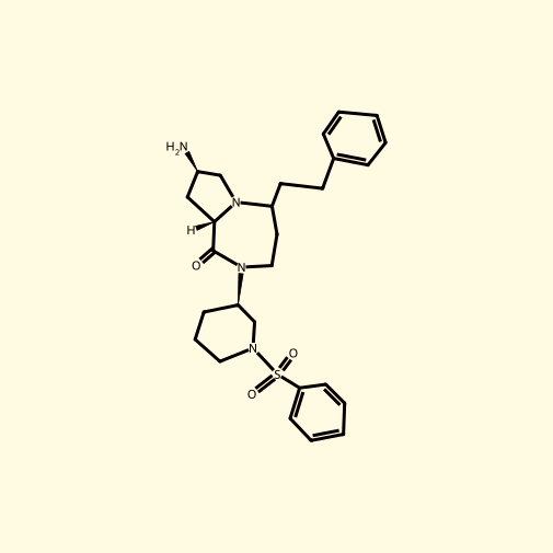 N[C@@H]1C[C@H]2C(=O)N([C@@H]3CCCN(S(=O)(=O)c4ccccc4)C3)CCC(CCc3ccccc3)N2C1